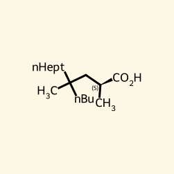 CCCCCCCC(C)(CCCC)C[C@H](C)C(=O)O